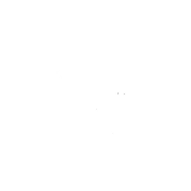 C1CSCC2(C1)CCO2